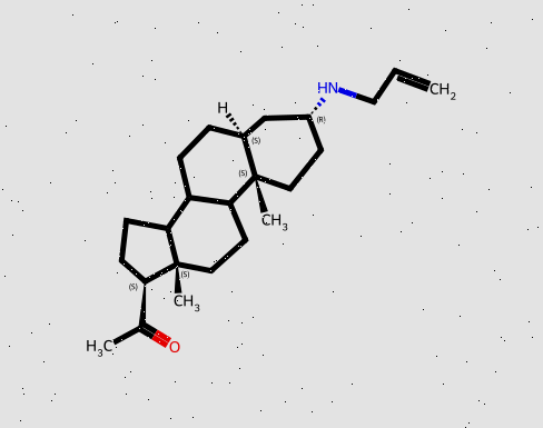 C=CCN[C@@H]1CC[C@]2(C)C3CC[C@@]4(C)C(CC[C@@H]4C(C)=O)C3CC[C@H]2C1